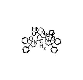 CC(CC1(CC(C)N2CCC(c3ccccc3)(c3ccccc3)C2=O)C(=O)NCCN1Cc1cccs1)N1CCC(c2ccccc2)(c2ccccc2)C1=O